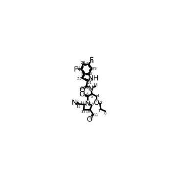 CCCOCC(C(=O)N1CC(C=O)CC1C#N)N(C)C(=O)c1cc2c(F)cc(F)cc2[nH]1